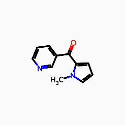 Cn1cccc1C(=O)c1cccnc1